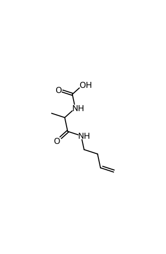 C=CCCNC(=O)C(C)NC(=O)O